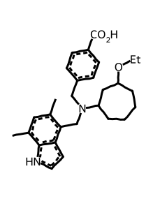 CCOC1CCCCC(N(Cc2ccc(C(=O)O)cc2)Cc2c(C)cc(C)c3[nH]ccc23)C1